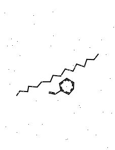 C=Cc1ccccc1.CCCCCCCCCCCCCCCC